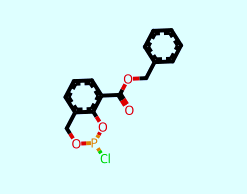 O=C(OCc1ccccc1)c1cccc2c1OP(Cl)OC2